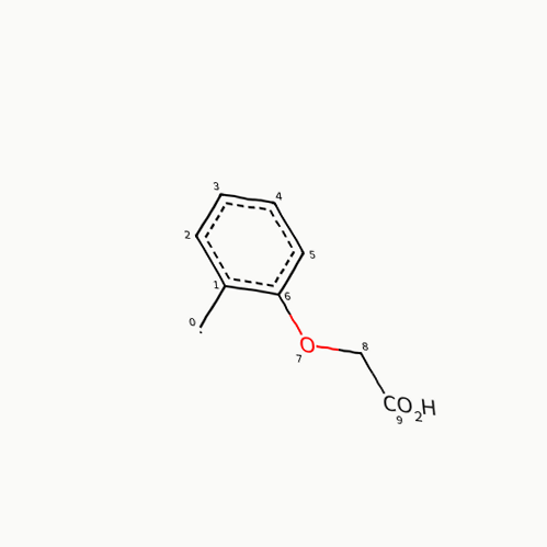 [CH2]c1ccccc1OCC(=O)O